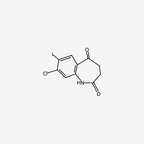 O=C1CCC(=O)c2cc(I)c(Cl)cc2N1